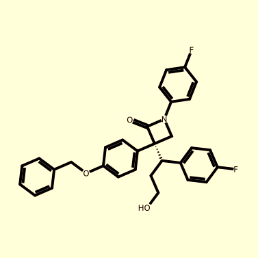 O=C1N(c2ccc(F)cc2)C[C@]1(c1ccc(OCc2ccccc2)cc1)C(CCO)c1ccc(F)cc1